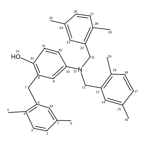 Cc1ccc(C)c(Cc2cc(N(Cc3cc(C)ccc3C)Cc3cc(C)ccc3C)ccc2O)c1